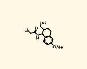 COc1ccc2c(c1)CCC(CO)C2NC(=O)CCl